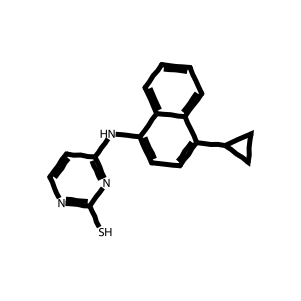 Sc1nccc(Nc2ccc(C3CC3)c3ccccc23)n1